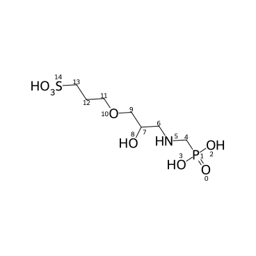 O=P(O)(O)CNCC(O)COCCCS(=O)(=O)O